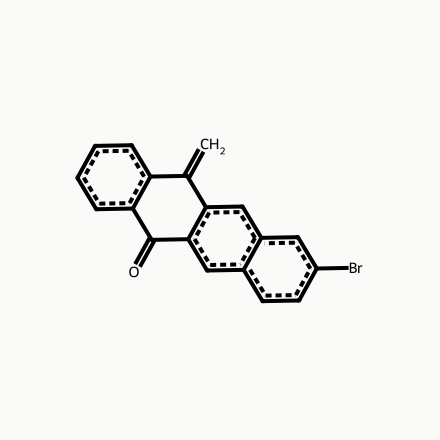 C=C1c2ccccc2C(=O)c2cc3ccc(Br)cc3cc21